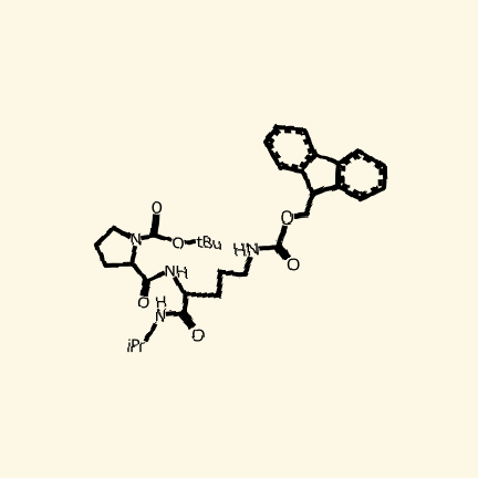 CC(C)NC(=O)C(CCCNC(=O)OCC1c2ccccc2-c2ccccc21)NC(=O)C1CCCN1C(=O)OC(C)(C)C